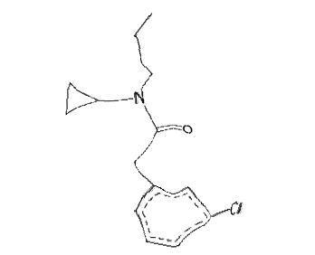 CCCN(C(=O)Cc1cccc(Cl)c1)C1CC1